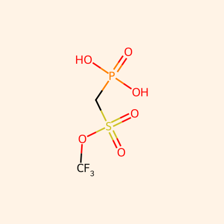 O=P(O)(O)CS(=O)(=O)OC(F)(F)F